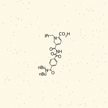 CCCCN(CCCC)C(=O)c1ccc(S(=O)(=O)NC(=O)C2=CC=C(C(=O)O)N(CC(C)C)C2)cc1